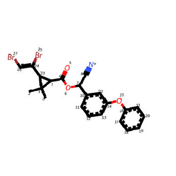 CC1(C)C(C(=O)OC(C#N)c2cccc(Oc3ccccc3)c2)C1/C(Br)=C/Br